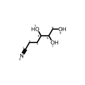 N#CCCC(O)C(O)CO